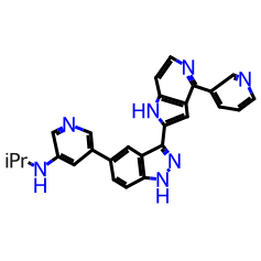 CC(C)Nc1cncc(-c2ccc3[nH]nc(-c4cc5c(-c6cccnc6)nccc5[nH]4)c3c2)c1